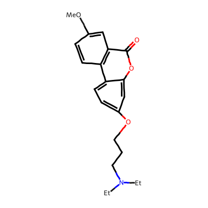 CCN(CC)CCCOc1ccc2c(c1)oc(=O)c1cc(OC)ccc12